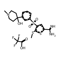 CSc1sc(C(=N)N)cc1S(=O)(=O)c1cccc(C2(O)CCN(C)CC2)c1.O=C(O)C(F)(F)F